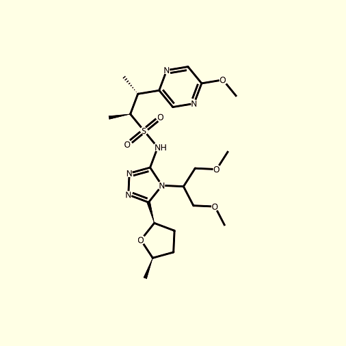 COCC(COC)n1c(NS(=O)(=O)[C@@H](C)[C@H](C)c2cnc(OC)cn2)nnc1[C@H]1CC[C@@H](C)O1